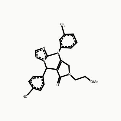 COCCN1CC2=C(C1=O)C(c1ccc(C#N)cc1)n1ncnc1N2c1cccc(C(F)(F)F)c1